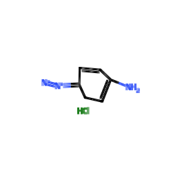 Cl.[N-]=[N+]=C1C=CC(N)=CC1